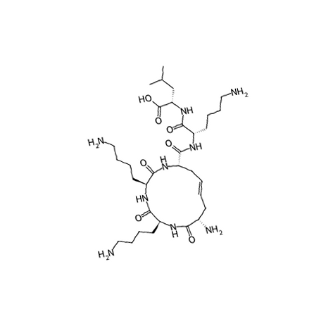 CC(C)C[C@H](NC(=O)[C@H](CCCCN)NC(=O)[C@@H]1C/C=C/C[C@H](N)C(=O)N[C@@H](CCCCN)C(=O)N[C@@H](CCCCN)C(=O)N1)C(=O)O